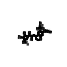 CCC1=C(C)CN(C(=O)NCC2CCOc3cc(OC)c(S(N)(=O)=O)cc32)C1=O